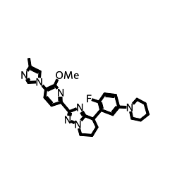 COc1nc(-c2nc3n(n2)CCCC3c2cc(N3CCCCC3)ccc2F)ccc1-n1cnc(C)c1